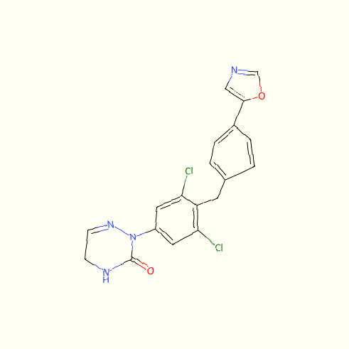 O=C1NCC=NN1c1cc(Cl)c(Cc2ccc(-c3cnco3)cc2)c(Cl)c1